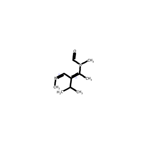 C/N=C\C(=C(\C)N(C)C=O)C(C)C